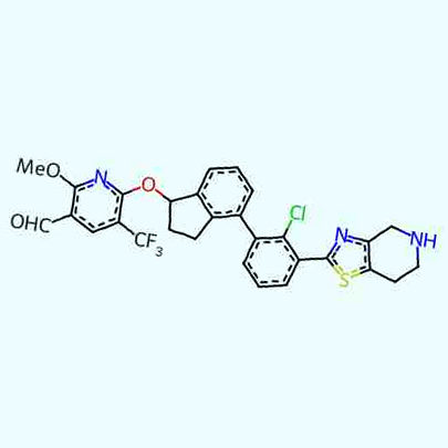 COc1nc(OC2CCc3c(-c4cccc(-c5nc6c(s5)CCNC6)c4Cl)cccc32)c(C(F)(F)F)cc1C=O